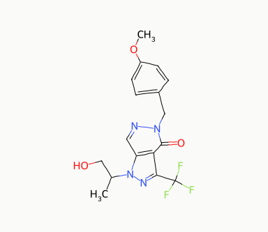 COc1ccc(Cn2ncc3c(c(C(F)(F)F)nn3C(C)CO)c2=O)cc1